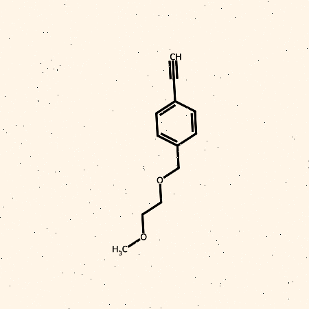 C#Cc1ccc(COCCOC)cc1